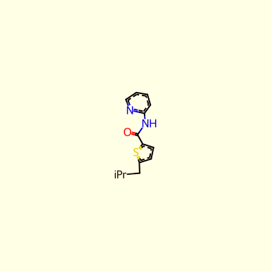 CC(C)Cc1ccc(C(=O)Nc2ccccn2)s1